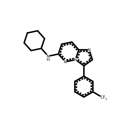 FC(F)(F)c1cccc(-c2cnc3ccc(NC4CCCCC4)nn23)c1